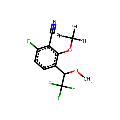 [2H]C([2H])([2H])Oc1c(C(OC)C(F)(F)F)ccc(F)c1C#N